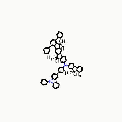 CC1(C)c2ccccc2-c2ccc(N(c3ccc(-c4ccc5c(c4)c4ccccc4n5-c4ccccc4)cc3)c3ccc4c(c3)C(C)(C)c3cc5c(cc3-4)C(C)(C)c3c(-c4ccccc4)ccc(-c4ccccc4)c3-5)cc21